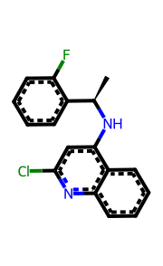 C[C@@H](Nc1cc(Cl)nc2ccccc12)c1ccccc1F